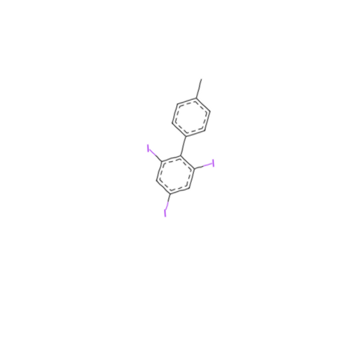 Cc1ccc(-c2c(I)cc(I)cc2I)cc1